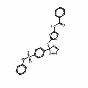 O=C(Nc1cnc(SC2(c3ccc(S(=O)(=O)Nc4ccccc4)cc3)N=NN=N2)s1)c1ccccc1